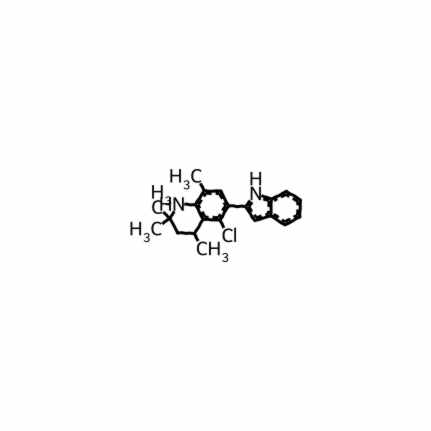 Cc1cc(-c2cc3ccccc3[nH]2)c(Cl)c2c1NC(C)(C)CC2C